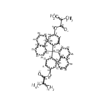 C=C(C)C(=O)Oc1ccc(C(c2ccc(OC(=O)C(=C)C)cc2)(c2cccc3ccccc23)c2cccc3ccccc23)cc1